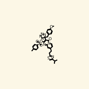 COc1ccc(CC2(c3c(OS(=O)(=O)c4ccc(C)cc4)nc4cc(CCc5nc(C(C)C)cs5)ccn4c3=O)N=NN=N2)cc1